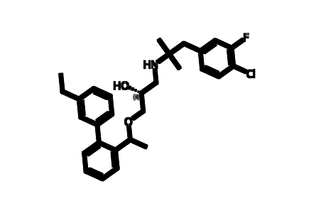 CCc1cccc(-c2ccccc2C(C)OC[C@H](O)CNC(C)(C)Cc2ccc(Cl)c(F)c2)c1